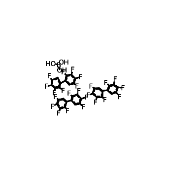 Fc1cc(-c2cc(F)c(F)c(F)c2F)c(F)c(F)c1F.Fc1cc(-c2cc(F)c(F)c(F)c2F)c(F)c(F)c1F.Fc1cc(-c2cc(F)c(F)c(F)c2F)c(F)c(F)c1F.OB(O)O